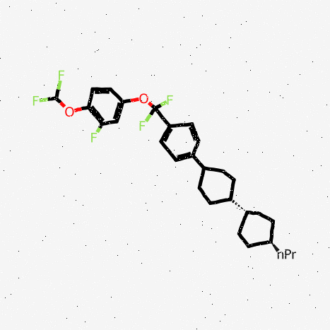 CCC[C@H]1CC[C@H](C2CCC(c3ccc(C(F)(F)Oc4ccc(OC(F)F)c(F)c4)cc3)CC2)CC1